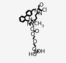 CCCCc1nc(Cl)c(C=O)n1Cc1ccc(-c2ccccc2-c2nnn(COC(=O)OCCOCCON(O)O)n2)cc1